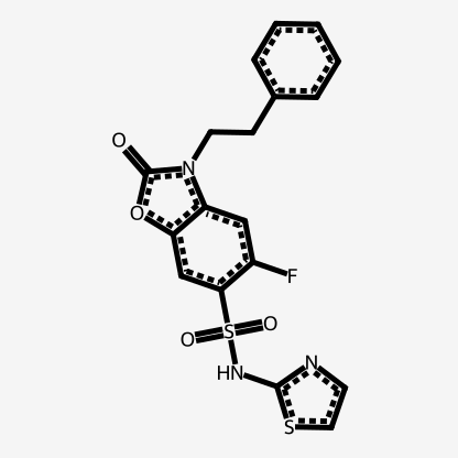 O=c1oc2cc(S(=O)(=O)Nc3nccs3)c(F)cc2n1CCc1ccccc1